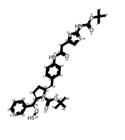 CC(C)(C)OC(=O)Nc1nc(CC(=O)Nc2ccc(C[C@@H]3CC[C@H]([C@H](OS)c4cccnc4)N3C(=O)OC(C)(C)C)cc2)cs1